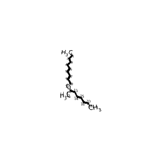 CCCCCCCCCCOC(C)CCCCCC